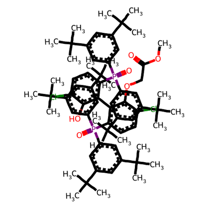 COC(=O)COc1c(Cl)ccc(P(=O)(c2cc(C(C)(C)C)cc(C(C)(C)C)c2)c2cc(C(C)(C)C)cc(C(C)(C)C)c2)c1-c1c(P(=O)(c2cc(C(C)(C)C)cc(C(C)(C)C)c2)c2cc(C(C)(C)C)cc(C(C)(C)C)c2)ccc(Cl)c1O